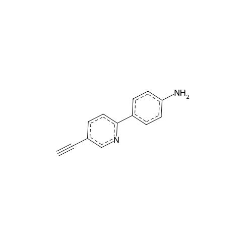 C#Cc1ccc(-c2ccc(N)cc2)nc1